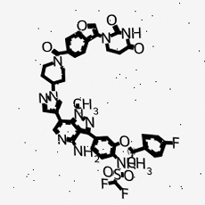 C[C@H](Oc1cc(-c2nn(C)c3c(-c4cnn(C5CCN(C(=O)c6ccc7c(N8CCC(=O)NC8=O)coc7c6)CC5)c4)cnc(N)c23)ccc1NS(=O)(=O)C(F)F)c1ccc(F)cc1